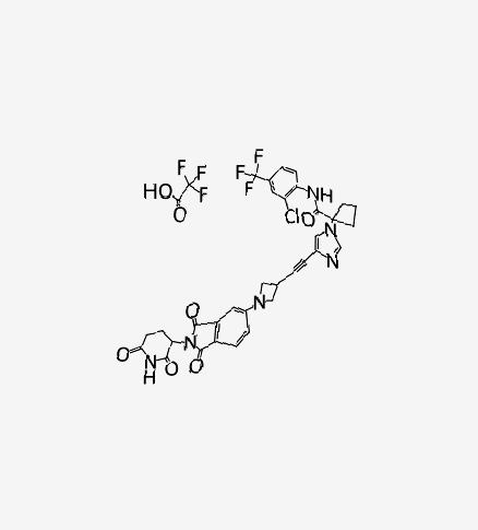 O=C(O)C(F)(F)F.O=C1CCC(N2C(=O)c3ccc(N4CC(C#Cc5cn(C6(C(=O)Nc7ccc(C(F)(F)F)cc7Cl)CCC6)cn5)C4)cc3C2=O)C(=O)N1